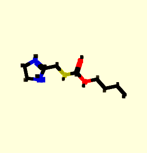 CCCCOC(=O)SCC1=NCCN1